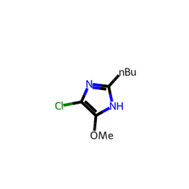 CCCCc1nc(Cl)c(OC)[nH]1